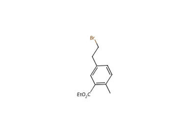 CCOC(=O)c1cc(CCBr)ccc1C